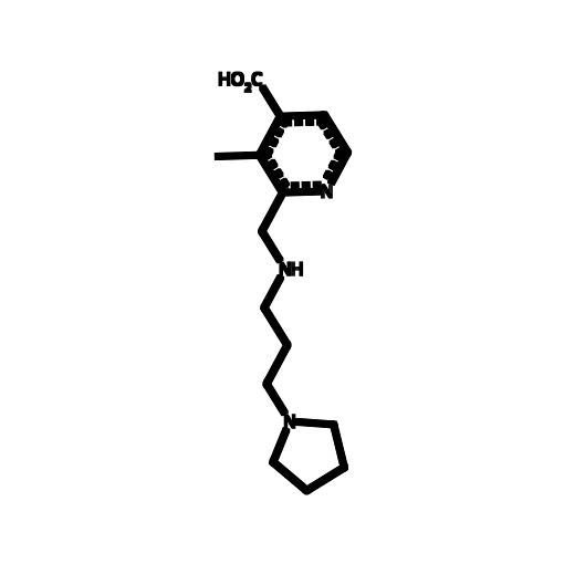 Cc1c(C(=O)O)ccnc1CNCCCN1CCCC1